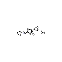 O=c1nc(/N=C/N2CCCC2)ncn1[C@@H]1CO[C@H](CO)C1